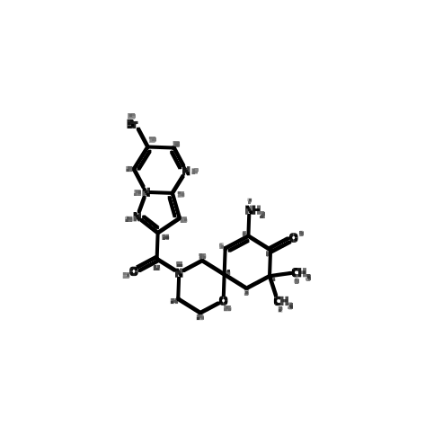 CC1(C)CC2(C=C(N)C1=O)CN(C(=O)c1cc3ncc(Br)cn3n1)CCO2